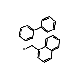 OCc1cccc2ccccc12.c1ccc(-c2ccccc2)cc1